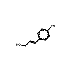 N#Cc1ccc(C=CCO)cc1